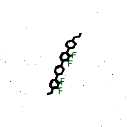 CCCC1CCC(c2ccc(C3=CCC(c4ccc(CC)c(F)c4F)CC3)c(F)c2F)CC1